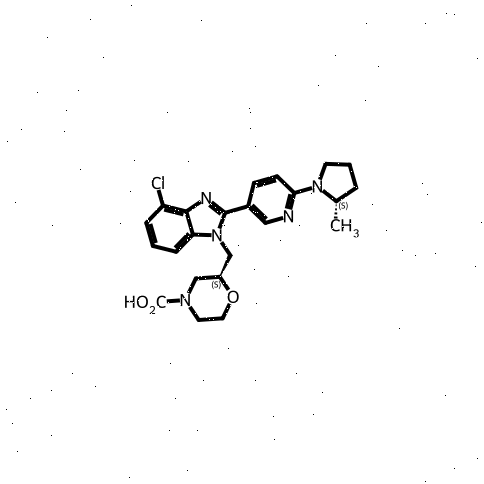 C[C@H]1CCCN1c1ccc(-c2nc3c(Cl)cccc3n2C[C@@H]2CN(C(=O)O)CCO2)cn1